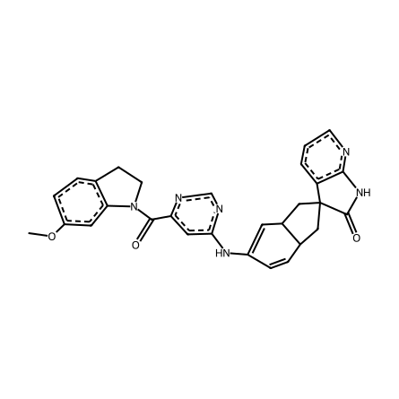 COc1ccc2c(c1)N(C(=O)c1cc(NC3=CC4CC5(CC4C=C3)C(=O)Nc3ncccc35)ncn1)CC2